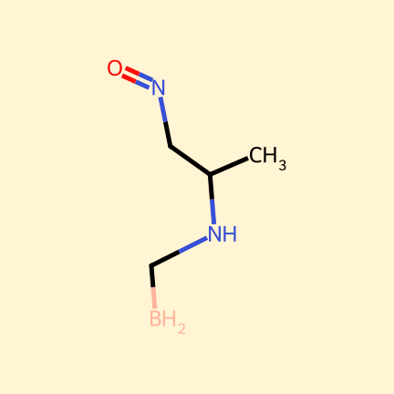 BCNC(C)CN=O